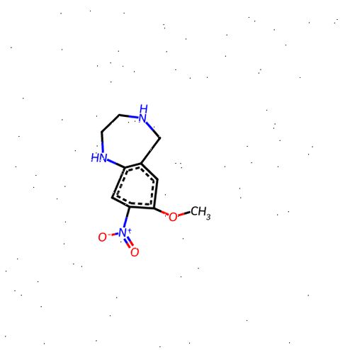 COc1cc2c(cc1[N+](=O)[O-])NCCNC2